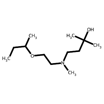 CCC(C)OCCN(C)CCC(C)(C)O